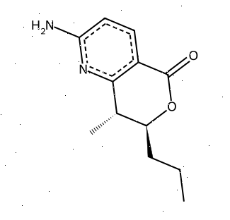 CCC[C@@H]1OC(=O)c2ccc(N)nc2[C@H]1C